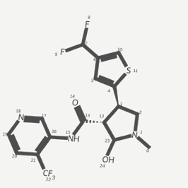 CN1C[C@H](c2cc(C(F)F)cs2)[C@@H](C(=O)Nc2cnccc2C(F)(F)F)C1O